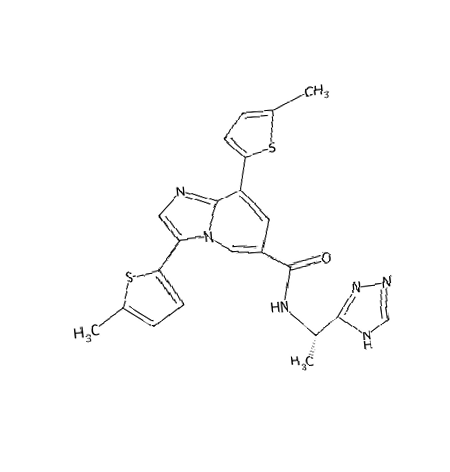 Cc1ccc(-c2cc(C(=O)N[C@@H](C)c3nnc[nH]3)cn3c(-c4ccc(C)s4)cnc23)s1